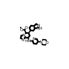 COC(=O)c1c(-c2ccc3cn[nH]c3c2)cc(Nc2ccc(N3CCOCC3)cn2)c2nccn12